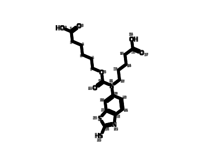 O=C(O)CCCCCOC(=O)N(CCCCC(=O)O)c1ccc2nc(S)sc2c1